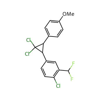 COc1ccc(C2C(c3ccc(Cl)c(C(F)F)c3)C2(Cl)Cl)cc1